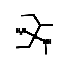 CCC(C)[Si](N)(CC)NC